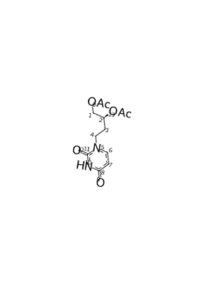 CC(=O)OC[C@H](CCn1ccc(=O)[nH]c1=O)OC(C)=O